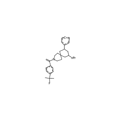 C=C(c1ccc(C(C)(C)F)cc1)N1CCC2(CC1)CC(CCC)CC(c1ccccc1)C2